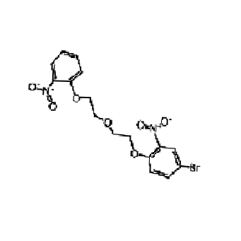 O=[N+]([O-])c1ccccc1OCCOCCOc1ccc(Br)cc1[N+](=O)[O-]